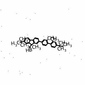 B=CC1(C)c2cc(-c3ccc(-c4ccc(C(C)(C)CC)cc4C)c(C)c3)ccc2-c2ccc(C(C)(C)C)cc21